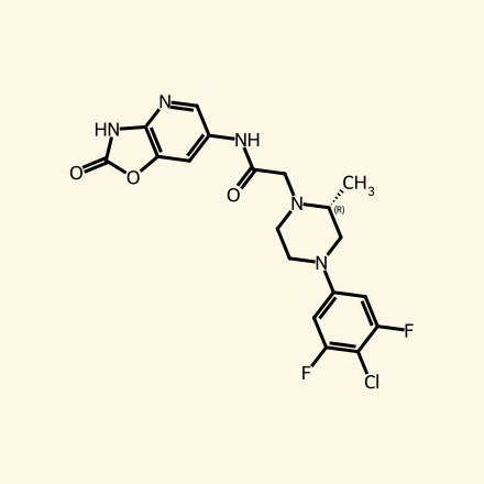 C[C@@H]1CN(c2cc(F)c(Cl)c(F)c2)CCN1CC(=O)Nc1cnc2[nH]c(=O)oc2c1